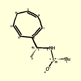 C[C@@H](N[S@@+]([O-])C(C)(C)C)C1=CC=CCC=C1